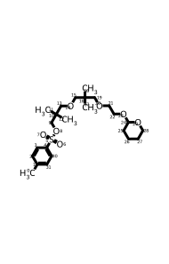 Cc1ccc(S(=O)(=O)OCC(C)(C)COCC(C)(C)COCCOC2CCCCO2)cc1